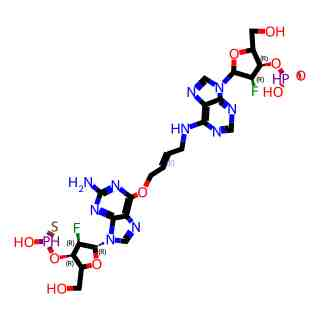 Nc1nc(OC/C=C/CNc2ncnc3c2ncn3C2OC(CO)[C@@H](O[PH](=O)O)[C@H]2F)c2ncn([C@@H]3OC(CO)[C@@H](O[PH](O)=S)[C@H]3F)c2n1